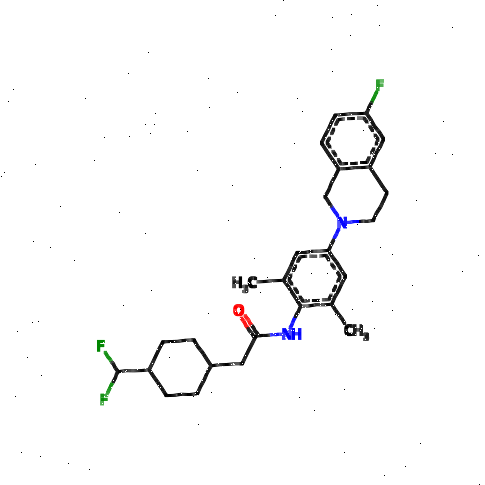 Cc1cc(N2CCc3cc(F)ccc3C2)cc(C)c1NC(=O)CC1CCC(C(F)F)CC1